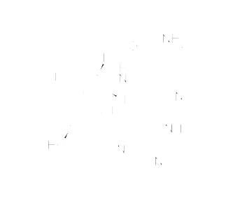 NC(=O)c1cnc(Nc2cnccn2)cc1N[C@@H]1[C@@H]2C[C@@H]3C[C@H]1C[C@@](O)(C3)C2